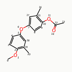 COc1ccc(Oc2ccc(OC(C)=O)c(C)c2)cc1C